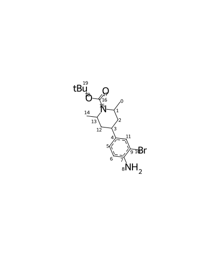 CC1CC(c2ccc(N)c(Br)c2)CC(C)N1C(=O)OC(C)(C)C